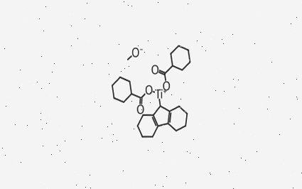 C[O-].O=C([O][Ti+]([O]C(=O)C1CCCCC1)[CH]1C2=C(CCCC2)C2=C1CCCC2)C1CCCCC1